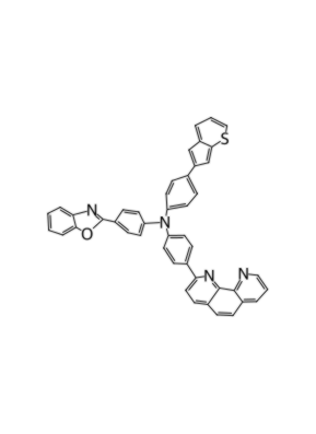 c1csc2cc(-c3ccc(N(c4ccc(-c5ccc6ccc7cccnc7c6n5)cc4)c4ccc(-c5nc6ccccc6o5)cc4)cc3)cc-2c1